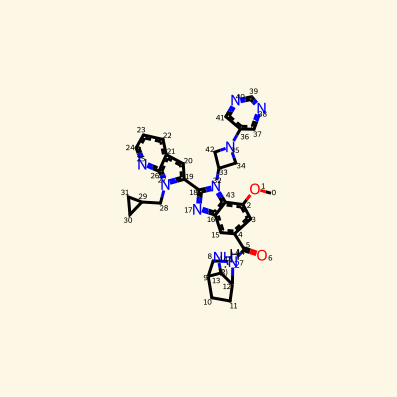 COc1cc(C(=O)N2CC3CCC2[C@@H]3N)cc2nc(-c3cc4cccnc4n3CC3CC3)n(C3CN(c4cncnc4)C3)c12